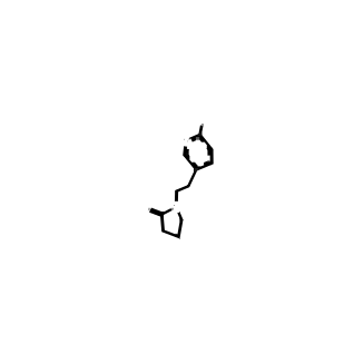 CCc1ccc(CCN2CCCC2=O)cn1